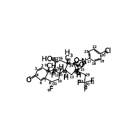 C[C@]12C=CC(=O)C=C1[C@@H](F)C[C@H]1[C@@H]3C[C@H]4CN(c5ccc(Cl)cc5)O[C@@]4(C(=O)SCC(F)(F)F)[C@@]3(C)C[C@H](O)[C@@]12F